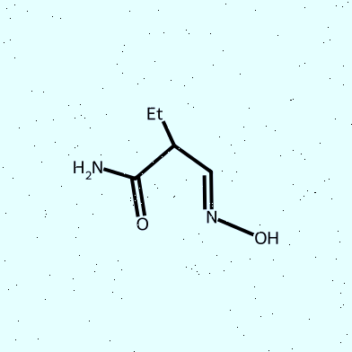 CCC(/C=N/O)C(N)=O